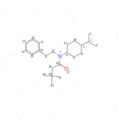 CC(C)C1CCC(N(CCc2ccccc2)C(=O)CC(C)(C)C)CC1